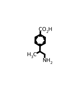 CC(CN)c1ccc(C(=O)O)cc1